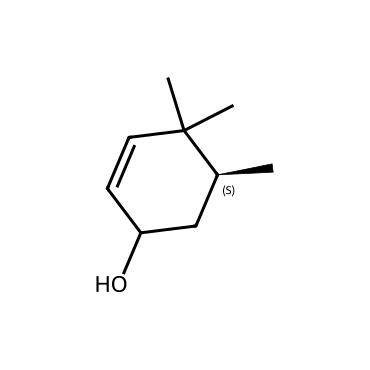 C[C@H]1CC(O)C=CC1(C)C